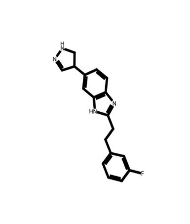 Fc1cccc(CCc2nc3ccc(C4C=NNC4)cc3[nH]2)c1